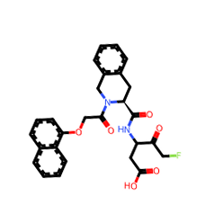 O=C(O)CC(NC(=O)[C@@H]1Cc2ccccc2CN1C(=O)COc1cccc2ccccc12)C(=O)CF